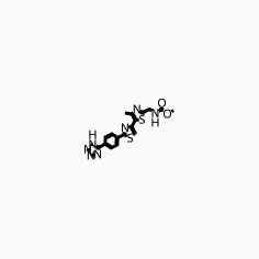 COC(=O)NCc1nc(C)c(-c2csc(-c3ccc(-c4nnn[nH]4)cc3)n2)s1